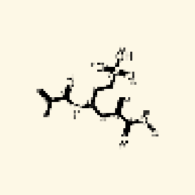 C=C(C)C(=O)OC(CCS(=O)(=O)O)CC(=C)C(=O)OC